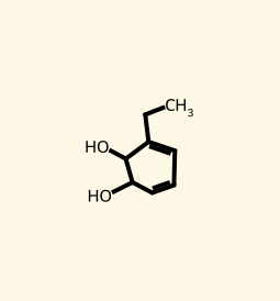 CCC1=CC=CC(O)C1O